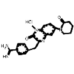 Cl.Cn1c(=O)c(Cc2ccc(C(=N)N)cc2)nc2cc(N3CCCCC3=O)ccc21